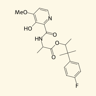 COc1ccnc(C(=O)NC(C)C(=O)OC(C)C(C)(C)c2ccc(F)cc2)c1O